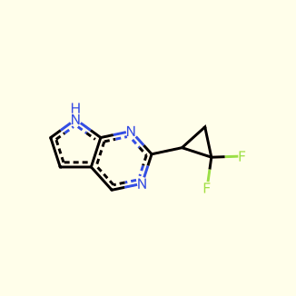 FC1(F)CC1c1ncc2cc[nH]c2n1